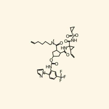 C=CCCCCN(C)C(=O)C1CC(OC(=O)Nc2cc(C(F)(F)F)ccc2-n2cccn2)CC1C(=O)NC1(C(=O)NS(=O)(=O)C2CC2)CC1C=C